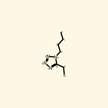 CCCCn1nnnc1CC